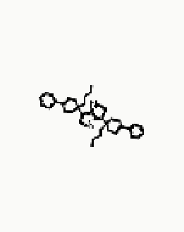 CCCCC1(c2ccnc3c(C4(CCCC)C=CC(c5ccccc5)=CC4)ccnc23)C=CC(c2ccccc2)=CC1